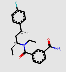 CC[C@H](C[C@@H](C)c1ccc(F)cc1)N(CC)C(=O)c1cccc(C(N)=O)c1